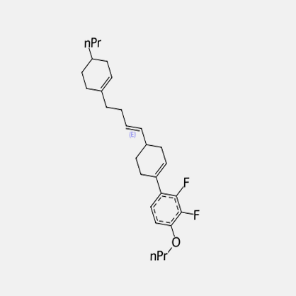 CCCOc1ccc(C2=CCC(/C=C/CCC3=CCC(CCC)CC3)CC2)c(F)c1F